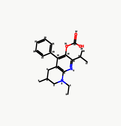 CCN1CC(C)Cc2c1nc(C(C)C)c(OC(=O)O)c2-c1ccccc1